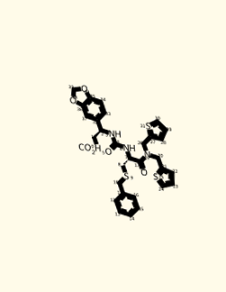 O=C(O)C[C@H](NC(=O)N[C@@H](CSCc1ccccc1)C(=O)N(Cc1cccs1)Cc1cccs1)c1ccc2c(c1)OCO2